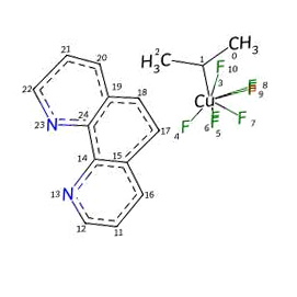 C[CH](C)[Cu]([F])([F])([F])([F])([F])([F])[F].c1cnc2c(c1)ccc1cccnc12